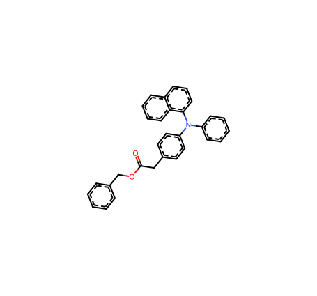 O=C(Cc1ccc(N(c2ccccc2)c2cccc3ccccc23)cc1)OCc1ccccc1